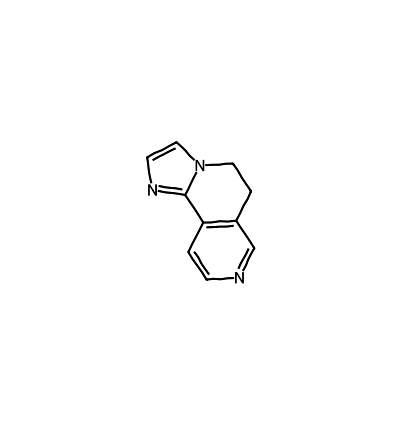 c1cc2c(cn1)CCn1ccnc1-2